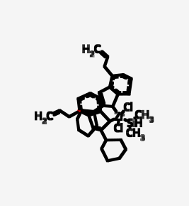 C=CCc1cccc2c1C=C(C1CCCCC1)[CH]2[Zr]([Cl])([Cl])([CH]1C(C2CCCCC2)=Cc2c(CC=C)cccc21)[SiH](C)C